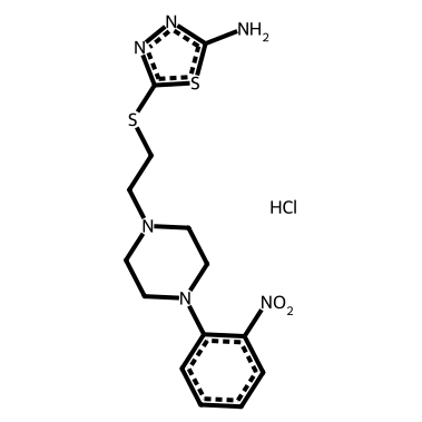 Cl.Nc1nnc(SCCN2CCN(c3ccccc3[N+](=O)[O-])CC2)s1